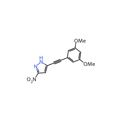 COc1cc(C#Cc2cc([N+](=O)[O-])n[nH]2)cc(OC)c1